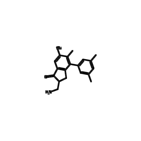 Cc1cc(C)cc(-c2c(C)c(C(C)(C)C)cc3c2CC(CN)C3=O)c1